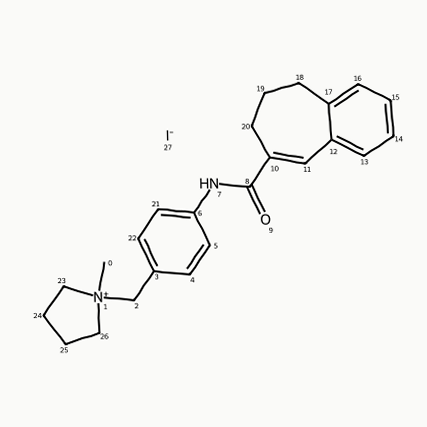 C[N+]1(Cc2ccc(NC(=O)C3=Cc4ccccc4CCC3)cc2)CCCC1.[I-]